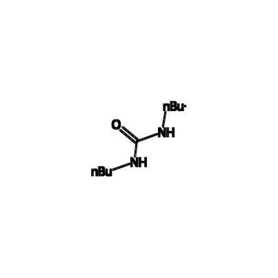 CCC[CH]NC(=O)NCCCC